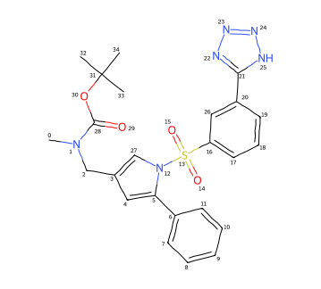 CN(Cc1cc(-c2ccccc2)n(S(=O)(=O)c2cccc(-c3nnn[nH]3)c2)c1)C(=O)OC(C)(C)C